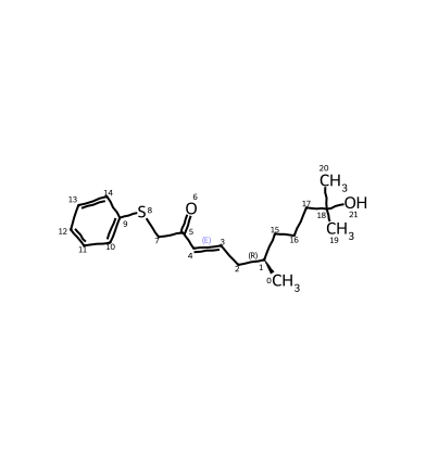 C[C@@H](C/C=C/C(=O)CSc1ccccc1)CCCC(C)(C)O